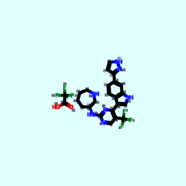 FC(F)(F)c1cnc(N[C@H]2CCCCNC2)nc1-c1c[nH]c2cc(-c3cc[nH]n3)ccc12.O=C(O)C(F)(F)F